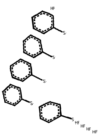 F.F.F.F.F.[S]c1ccccc1.[S]c1ccccc1.[S]c1ccccc1.[S]c1ccccc1.[S]c1ccccc1